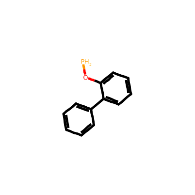 POc1ccccc1-c1ccccc1